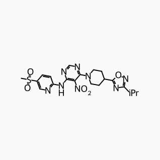 CC(C)c1noc(C2CCN(c3ncnc(Nc4ccc(S(C)(=O)=O)cn4)c3[N+](=O)[O-])CC2)n1